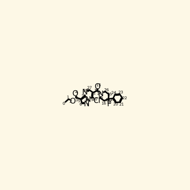 CCOC(=O)c1cnn2c(Cl)c(C(=O)N3CCC(F)(c4ccccc4)CC3)cnc12